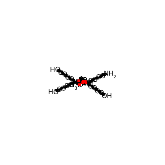 COC(c1ccc(N(CCOCCOCCOCCOCCN)CCOCCOCCOCCOCCO)cc1)(c1ccc(N(CCOCCOCCOCCOCCO)CCOCCOCCOCCOCCO)cc1)c1ccccc1S(=O)(=O)O